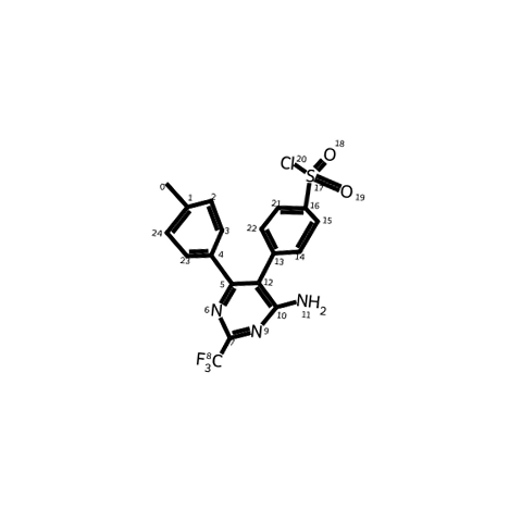 Cc1ccc(-c2nc(C(F)(F)F)nc(N)c2-c2ccc(S(=O)(=O)Cl)cc2)cc1